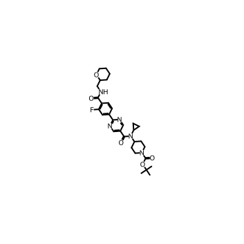 CC(C)(C)OC(=O)N1CCC(N(C(=O)c2cnc(-c3ccc(C(=O)NCC4CCCCO4)c(F)c3)nc2)C2CC2)CC1